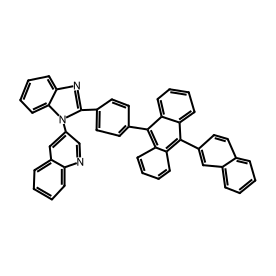 c1ccc2cc(-c3c4ccccc4c(-c4ccc(-c5nc6ccccc6n5-c5cnc6ccccc6c5)cc4)c4ccccc34)ccc2c1